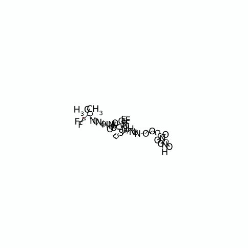 CC1(C)CCC(CN2CCN(c3ccc(C(=O)NS(=O)(=O)c4ccc(N[C@H](CCN5CCN(CCOCCOc6ccc7c(c6)C(=O)N(C6CCC(=O)NC6=O)C7=O)CC5)CSc5ccccc5)c(S(=O)(=O)C(F)(F)F)c4)cc3)CC2)=C(C23CC(C(F)F)(C2)C3)C1